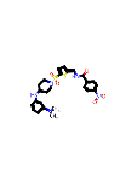 CN(C)c1cccc(NC2CCN(S(=O)(=O)c3ccc(CNC(=O)c4ccc([N+](=O)[O-])cc4)s3)CC2)c1